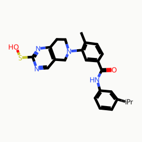 Cc1ccc(C(=O)Nc2cccc(C(C)C)c2)cc1N1CCc2nc(SO)ncc2C1